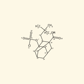 CC(C)(C)CC1C2(OS(=O)(=O)Cl)CC3CC(C2)CC1(C(=O)O)C3